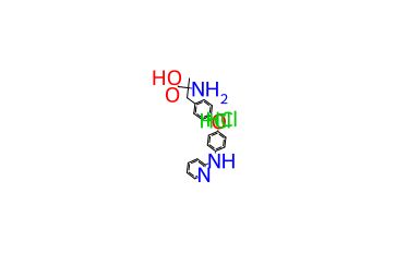 CC(N)(Cc1ccc(Oc2ccc(Nc3ccccn3)cc2)cc1)C(=O)O.Cl.Cl